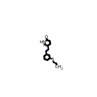 C=CCSc1cccc(/C=C/c2ccc(=O)[nH]n2)c1